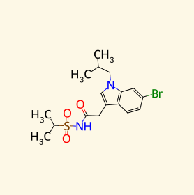 CC(C)Cn1cc(CC(=O)NS(=O)(=O)C(C)C)c2ccc(Br)cc21